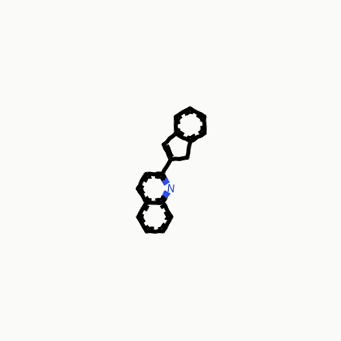 C1=C(c2ccc3ccccc3n2)Cc2ccccc21